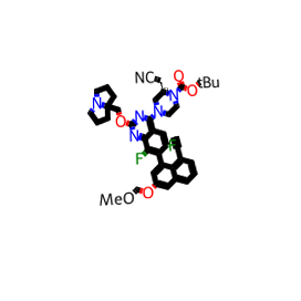 C#Cc1cccc2cc(OCOC)cc(-c3c(F)cc4c(N5CCN(C(=O)OC(C)(C)C)[C@@H](CC#N)C5)nc(OCC56CCCN5CCC6)nc4c3F)c12